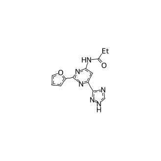 CCC(=O)Nc1cc(-c2nc[nH]n2)nc(-c2ccco2)n1